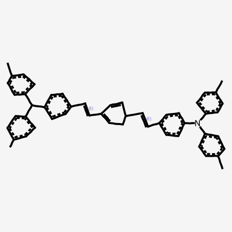 Cc1ccc(C(c2ccc(C)cc2)c2ccc(/C=C/C3=CCC(/C=C/c4ccc(N(c5ccc(C)cc5)c5ccc(C)cc5)cc4)C=C3)cc2)cc1